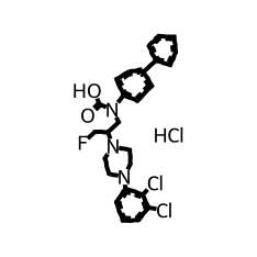 Cl.O=C(O)N(CC(CF)N1CCN(c2cccc(Cl)c2Cl)CC1)c1ccc(-c2ccccc2)cc1